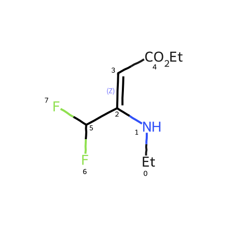 CCN/C(=C\C(=O)OCC)C(F)F